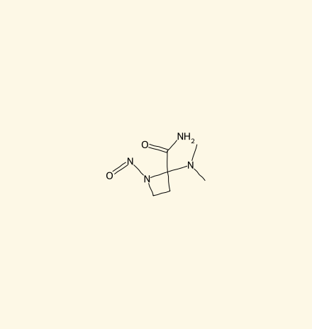 CN(C)C1(C(N)=O)CCN1N=O